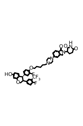 O=C1CCC(N2Cc3cc(N4CCN(CCCCCOc5ccc([C@@H]6c7ccc(O)cc7OCC6c6ccc(F)c(C(F)(F)F)c6)cc5F)CC4)ccc3C2=O)C(=O)N1